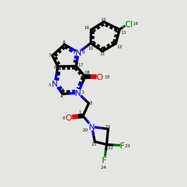 O=C(Cn1cnc2ccn(-c3ccc(Cl)cc3)c2c1=O)N1CC(F)(F)C1